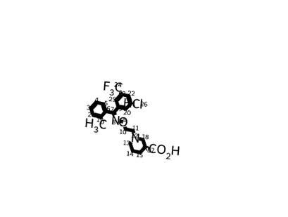 Cc1ccccc1C(=NOCCN1CCC[C@@H](C(=O)O)C1)c1cccc(C(F)(F)F)c1.Cl